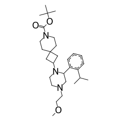 COCCN1CCN(C2CC3(CCN(C(=O)OC(C)(C)C)CC3)C2)C(c2ccccc2C(C)C)C1